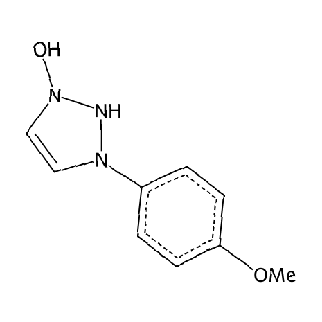 COc1ccc(N2C=CN(O)N2)cc1